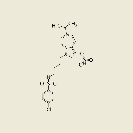 CC(C)c1ccc2c(CCCCNS(=O)(=O)c3ccc(Cl)cc3)cc(O[SH](=O)=O)c-2cc1